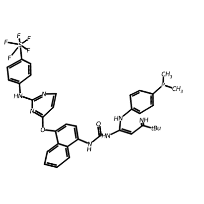 CP(C)c1ccc(N/C(=C\C(=N)C(C)(C)C)NC(=O)Nc2ccc(Oc3ccnc(Nc4ccc(S(F)(F)(F)(F)F)cc4)n3)c3ccccc23)cc1